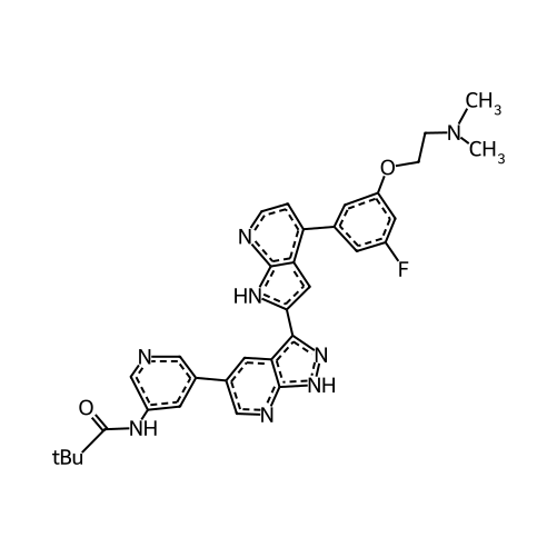 CN(C)CCOc1cc(F)cc(-c2ccnc3[nH]c(-c4n[nH]c5ncc(-c6cncc(NC(=O)C(C)(C)C)c6)cc45)cc23)c1